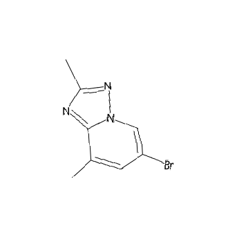 Cc1nc2c(C)cc(Br)cn2n1